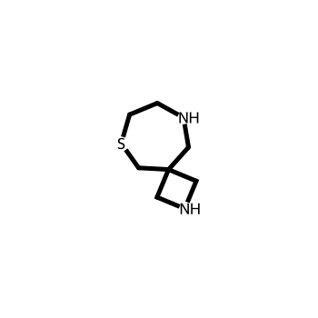 C1CSCC2(CN1)CNC2